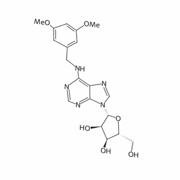 COc1cc(CNc2ncnc3c2ncn3[C@@H]2O[C@H](CO)[C@@H](O)[C@H]2O)cc(OC)c1